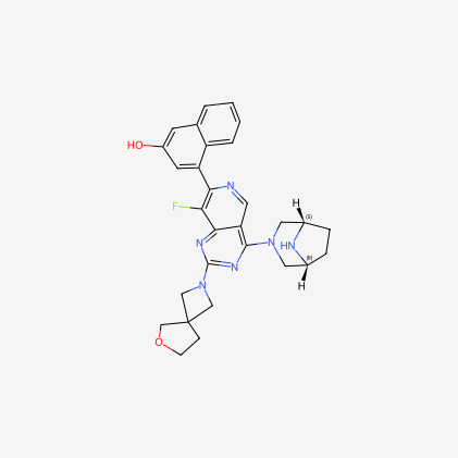 Oc1cc(-c2ncc3c(N4C[C@H]5CC[C@@H](C4)N5)nc(N4CC5(CCOC5)C4)nc3c2F)c2ccccc2c1